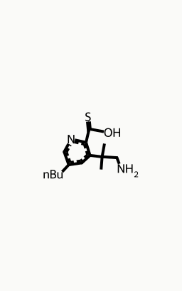 CCCCc1cnc(C(O)=S)c(C(C)(C)CN)c1